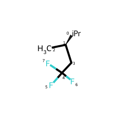 CC(C)[C@H](C)CC(F)(F)F